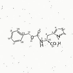 O=C(N[C@@H](Cc1cscn1)C(=O)O)OCc1ccccc1